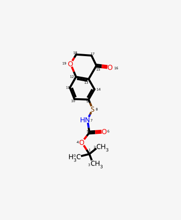 CC(C)(C)OC(=O)NSc1ccc2c(c1)C(=O)CCO2